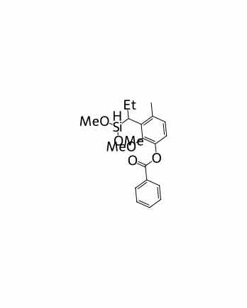 CCC(c1c(C)ccc(OC(=O)c2ccccc2)c1OC)[SiH](OC)OC